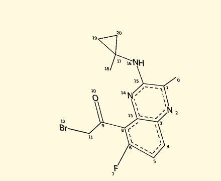 Cc1nc2ccc(F)c(C(=O)CBr)c2nc1NC1(C)CC1